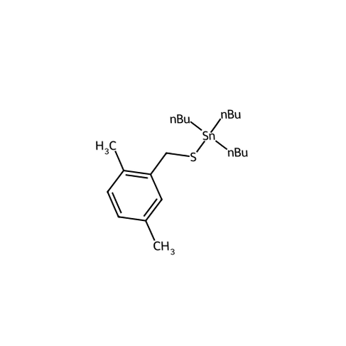 CCC[CH2][Sn]([CH2]CCC)([CH2]CCC)[S]Cc1cc(C)ccc1C